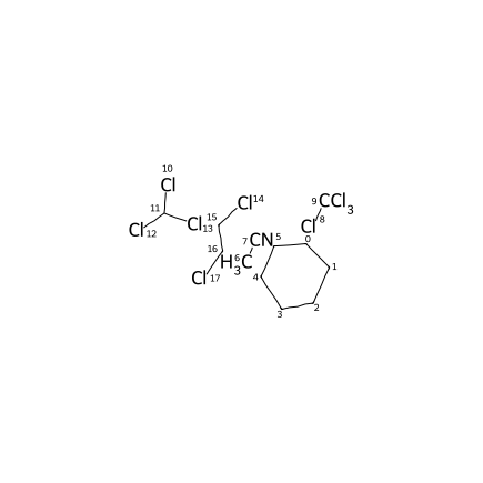 C1CCCCC1.CC#N.ClC(Cl)(Cl)Cl.ClC(Cl)Cl.ClCCCl